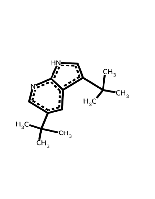 CC(C)(C)c1cnc2[nH]cc(C(C)(C)C)c2c1